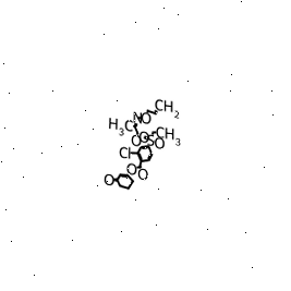 C=CCO/N=C(/C)COc1c(S(=O)(=O)CC)ccc(C(=O)OC2=CC(=O)CCC2)c1Cl